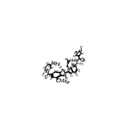 COc1cc(C(=O)N2C[C@H](N)CCN2C)cc2nc(-c3cc4ccc([C@@H](C)NC(=O)c5cnn(C)c5)nc4n3CC3CC3)n(C)c12